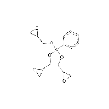 c1ccc([Si](OCC2CO2)(OCC2CO2)OCC2CO2)cc1